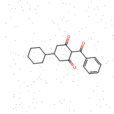 O=C1CC(C2CCCCC2)CC(=O)C1C(=O)c1ccccc1